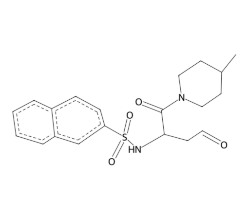 CC1CCN(C(=O)C(CC=O)NS(=O)(=O)c2ccc3ccccc3c2)CC1